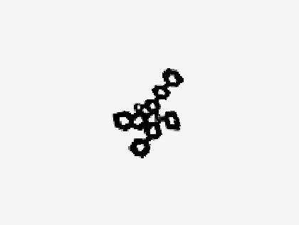 c1ccc(-c2ccc(-c3cc(N(c4ccccc4)c4ccc(-c5ccccc5)cc4)c4c(c3)oc3c5ccccc5ccc34)cc2)cc1